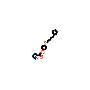 O=C(COc1ccc(SCCCCCc2ccccc2)cc1)c1ccccn1